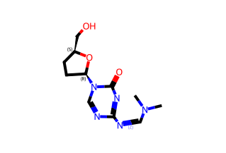 CN(C)/C=N\c1ncn([C@H]2CC[C@@H](CO)O2)c(=O)n1